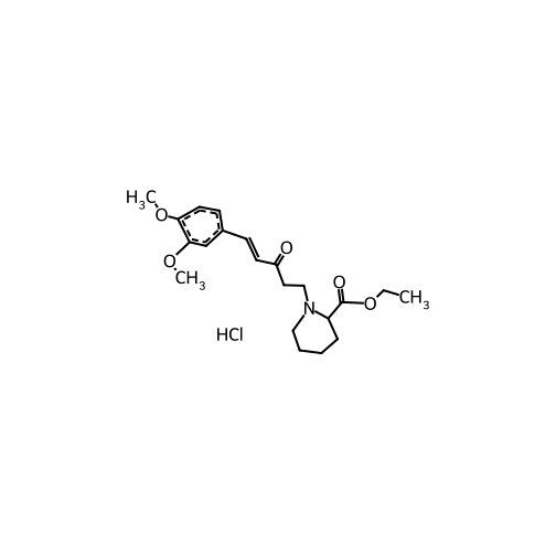 CCOC(=O)C1CCCCN1CCC(=O)C=Cc1ccc(OC)c(OC)c1.Cl